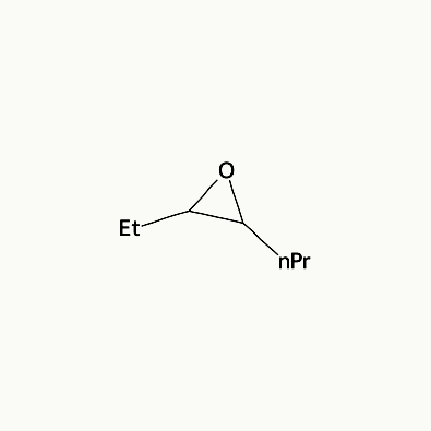 CCCC1OC1CC